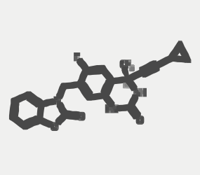 O=C1Nc2cc(Cn3c(=O)oc4ccccc43)c(F)cc2[C@@](C#CC2CC2)(C(F)(F)F)N1